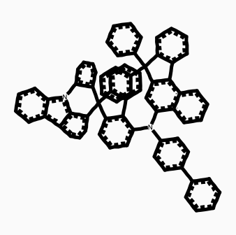 c1ccc(-c2ccc(N(c3cccc4c3-c3ccccc3C43c4ccccc4-n4c5ccccc5c5cccc3c54)c3cc4c(c5ccccc35)-c3ccccc3C4(c3ccccc3)c3ccccc3)cc2)cc1